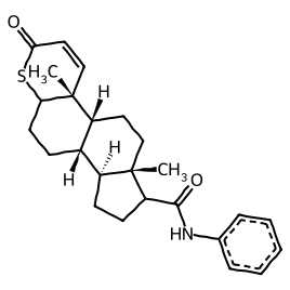 C[C@]12C=CC(=O)SC1CC[C@@H]1[C@H]2CC[C@]2(C)C(C(=O)Nc3ccccc3)CC[C@@H]12